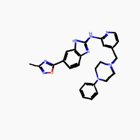 Cc1noc(-c2ccc3nc(Nc4cc(CN5CCN(c6ccccc6)CC5)ccn4)[nH]c3c2)n1